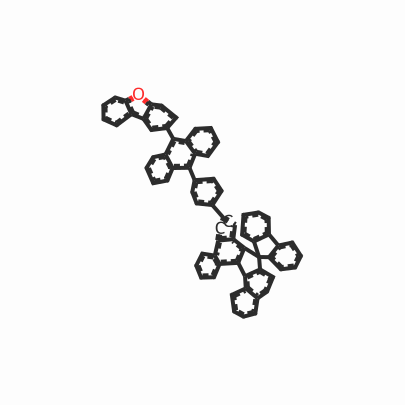 c1ccc2c(c1)-c1ccccc1C21c2ccc3ccccc3c2-c2c1c1ccc(-c3ccc(-c4c5ccccc5c(-c5ccc6oc7ccccc7c6c5)c5ccccc45)cc3)cc1c1ccccc21